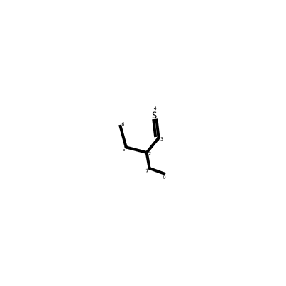 CCC([C]=S)CC